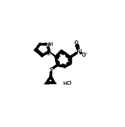 Cl.O=[N+]([O-])c1ccc(SC2CC2)c([C@H]2C=CCN2)c1